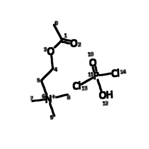 CC(=O)OCC[N+](C)(C)C.O=P(O)(Cl)Cl